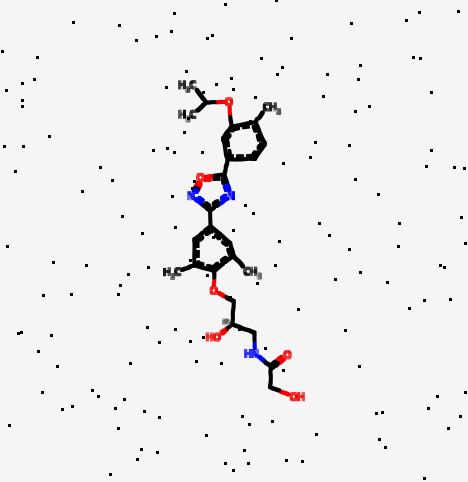 Cc1ccc(-c2nc(-c3cc(C)c(OC[C@H](O)CNC(=O)CO)c(C)c3)no2)cc1OC(C)C